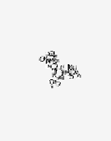 COC(=O)c1cc(OC[C@@H]2COCC(=O)N2C)cc(-c2ncc(C)s2)c1